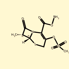 BOC(=O)C1=C(OS(C)(=O)=O)CS[C@@H]2[C@H](C)C(=O)N12